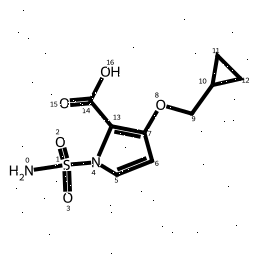 NS(=O)(=O)n1ccc(OCC2CC2)c1C(=O)O